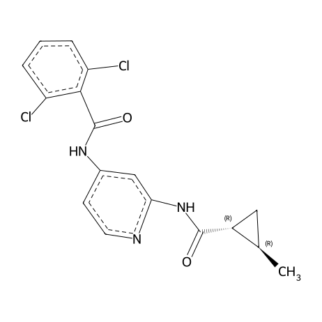 C[C@@H]1C[C@H]1C(=O)Nc1cc(NC(=O)c2c(Cl)cccc2Cl)ccn1